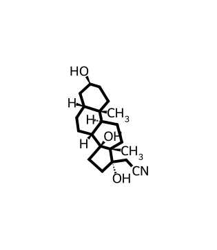 C[C@]12CC[C@H](O)C[C@H]1CC[C@@H]1[C@@H]2CC[C@]2(C)[C@@](O)(CC#N)CC[C@]12O